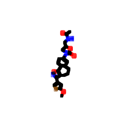 COc1cc(-c2noc3c2CCCc2cc(N4CC(CNC(C)=O)OC4=O)ccc2-3)cs1